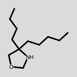 CCCCCC1(CCCC)COCN1